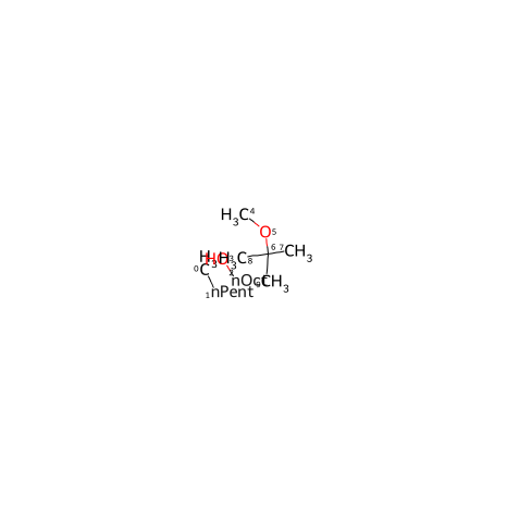 CCCCCC.CCCCCCCCO.COC(C)(C)C